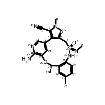 CN=S1(=O)Cc2nn(C)c(C#N)c2-c2cnc(N)c(c2)O[C@H](C)c2cc(C)ccc2N1